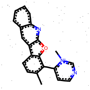 Cc1ccc2c(oc3nc4ccccc4cc32)c1-c1ccnc[n+]1C